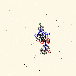 COc1cnc(-n2cc(Cl)cn2)c2[nH]cc(C(=O)C(=O)N3CCN(C(=O)c4ccccc4)CC3)c12